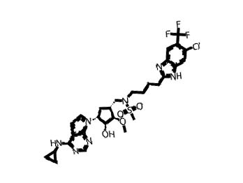 CO[C@@H]1[C@@H](CN(CCCCc2nc3cc(C(F)(F)F)c(Cl)cc3[nH]2)S(C)(=O)=O)C[C@@H](n2ccc3c(NC4CC4)ncnc32)[C@@H]1O